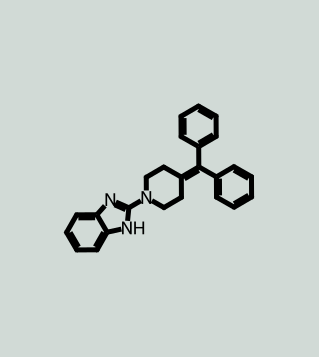 c1ccc(C(=C2CCN(c3nc4ccccc4[nH]3)CC2)c2ccccc2)cc1